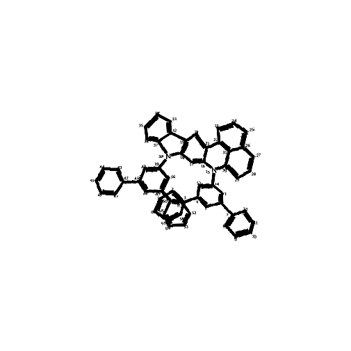 c1ccc(-c2cc(-c3ccccc3)cc(N3c4cc5c(cc4-c4cccc6cccc3c46)c3ccccc3n5-c3cc(-c4ccccc4)cc(-c4ccccc4)c3)c2)cc1